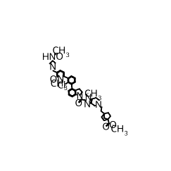 COC(=O)C12CCC(CCN3CCc4c(nc(C(=O)N5CCc6c(-c7cccc(-c8ccc(CN9CC(NC(C)=O)C9)c(OC)n8)c7Cl)cccc65)n4C)C3)(CC1)C2